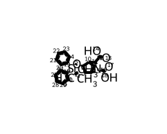 CC(C)(C)[Si](O[C@H]1CC2CC1C(C(=O)O)N2C(=O)O)(c1ccccc1)c1ccccc1